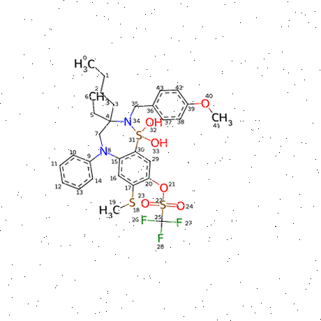 CCCCC1(CC)CN(c2ccccc2)c2cc(SC)c(OS(=O)(=O)C(F)(F)F)cc2S(O)(O)N1Cc1ccc(OC)cc1